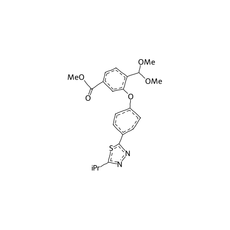 COC(=O)c1ccc(C(OC)OC)c(Oc2ccc(-c3nnc(C(C)C)s3)cc2)c1